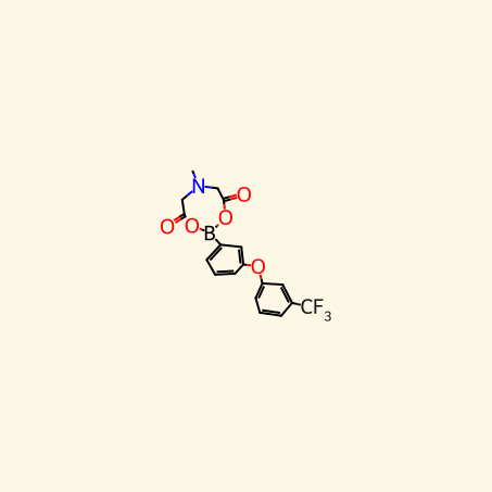 CN1CC(=O)OB(c2cccc(Oc3cccc(C(F)(F)F)c3)c2)OC(=O)C1